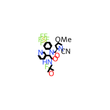 CO[C@@H]1C[C@H](C(=O)N(c2ccc(S(F)(F)(F)(F)F)cc2)C(C(=O)NCC2(F)COC2)c2cccnc2)N(C#N)C1